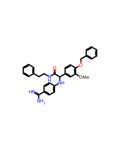 COc1cc(C(Nc2ccc(C(=N)N)cc2)C(=O)NCCc2ccccc2)ccc1OCc1ccccc1